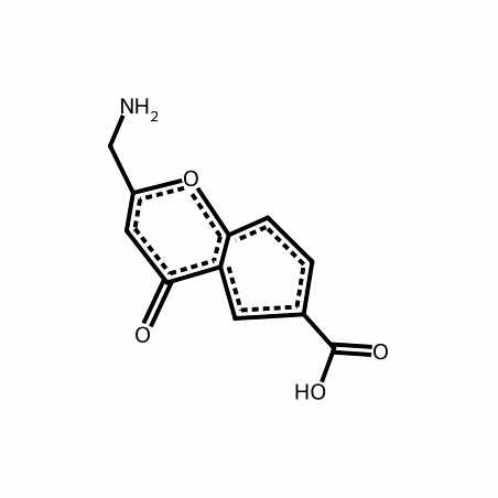 NCc1cc(=O)c2cc(C(=O)O)ccc2o1